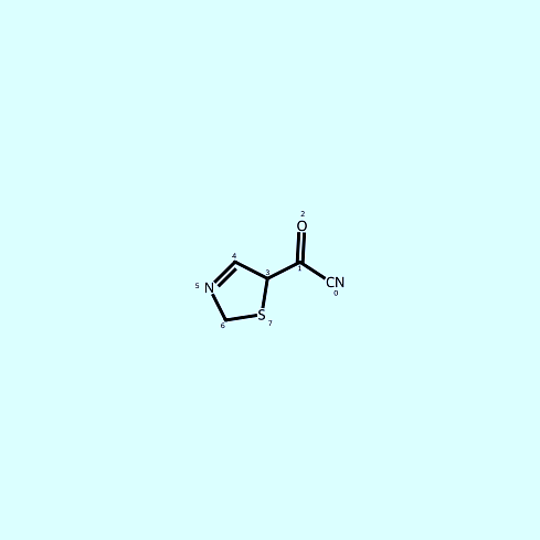 N#CC(=O)C1C=NCS1